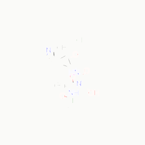 Cc1ncsc1-c1ccc(CNC(=O)[C@@H]2C[C@@H](O)CN2C(=O)[C@@H](NC(=O)C2(F)CC2)C(C)(C)C)c(OCCCl)c1